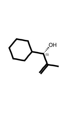 C=C(C)[C@@H](O)C1CCCCC1